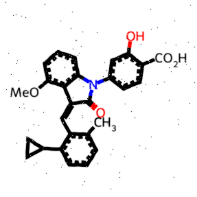 COc1cccc2c1/C(=C/c1c(C)cccc1C1CC1)C(=O)N2c1ccc(C(=O)O)c(O)c1